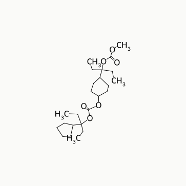 CCC(CC)(OC(=O)OC)C1CCC(OC(=O)OC(CC)(CC)C2CCCC2)CC1